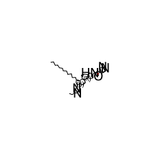 CCCCCCCCCCCCC1=C2C3=C(C=C[C@]2(C)C(n2cnc(CC)c2)=C1)[C@]1(C)CC=C(NC(=O)c2ccnnc2)C=C1C=C3